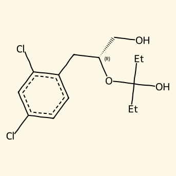 CCC(O)(CC)O[C@@H](CO)Cc1ccc(Cl)cc1Cl